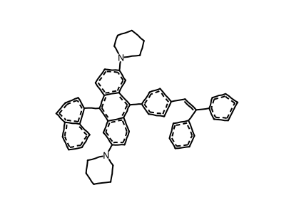 C(=C(c1ccccc1)c1ccccc1)c1ccc(-c2c3cc(N4CCCCC4)ccc3c(-c3cccc4ccccc34)c3cc(N4CCCCC4)ccc23)cc1